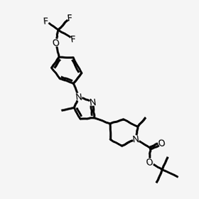 Cc1cc(C2CCN(C(=O)OC(C)(C)C)C(C)C2)nn1-c1ccc(OC(F)(F)F)cc1